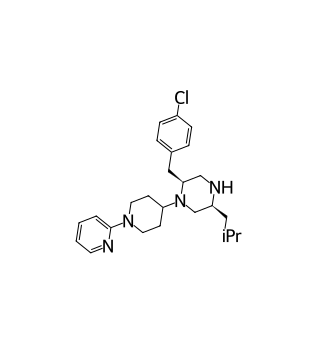 CC(C)C[C@H]1CN(C2CCN(c3ccccn3)CC2)[C@@H](Cc2ccc(Cl)cc2)CN1